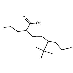 CCCC(CCC(CCC)C(C)(C)C)C(=O)O